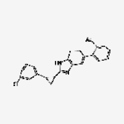 CC(=O)c1ccccc1-c1ccc2[nH]c(C3CC3c3cccc(Cl)c3)nc2c1